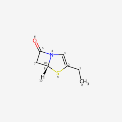 CCC1=CN2C(=O)C[C@H]2S1